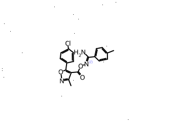 Cc1ccc(/C(N)=N/OC(=O)c2c(C)noc2-c2ccc(Cl)cc2)cc1